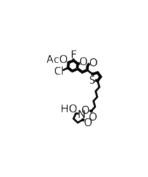 CC(=O)Oc1c(Cl)cc2cc(-c3ccc(CCCCCC(=O)ON4C(=O)CCC4O)s3)c(=O)oc2c1F